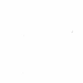 CCCc1cc2c(s1)c1cc(CCC)sc1c1cc(CCC)sc21